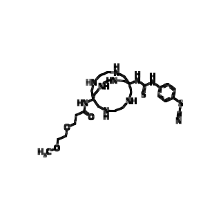 COCCOCCC(=O)NC12CNCCNCC(NC(=S)Nc3ccc(SC#N)cc3)(CNCCNC1)CNCCNC2